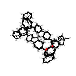 Cc1ccc(N(c2ccccc2)c2ccc3c(c2)C2(c4cc(N(c5ccccc5)c5ccc(C)cc5)ccc4-3)c3cc(N(c4ccccc4)c4ccc(C)cc4)ccc3-c3ccc(N(c4ccccc4)c4ccc(C)cc4)cc32)cc1